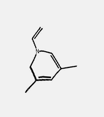 C=CN1C=C(C)C=C(C)C1